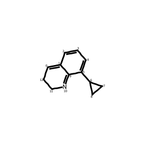 C1=c2cccc(C3CC3)c2=NCC1